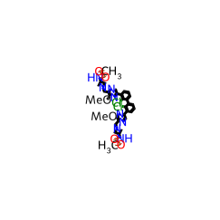 COc1nc(-c2cccc(-c3cccc(-c4cnc(CN5CC(NS(C)(=O)=O)C5)c(OC)n4)c3Cl)c2Cl)cnc1CN1CC(NS(C)(=O)=O)C1